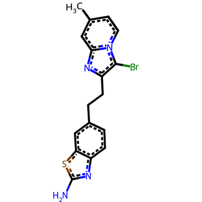 Cc1ccn2c(Br)c(CCc3ccc4nc(N)sc4c3)nc2c1